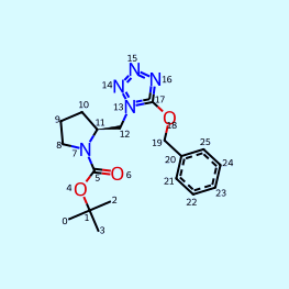 CC(C)(C)OC(=O)N1CCC[C@H]1Cn1nnnc1OCc1ccccc1